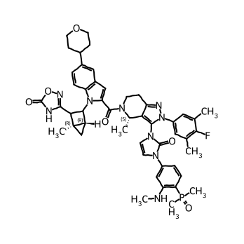 CNc1cc(-n2ccn(-c3c4c(nn3-c3cc(C)c(F)c(C)c3)CCN(C(=O)c3cc5cc(C6CCOCC6)ccc5n3C3C(c5noc(=O)[nH]5)[C@]5(C)C[C@@H]35)[C@H]4C)c2=O)ccc1P(C)(C)=O